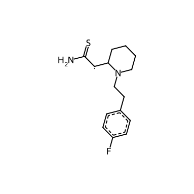 NC(=S)[CH]C1CCCCN1CCc1ccc(F)cc1